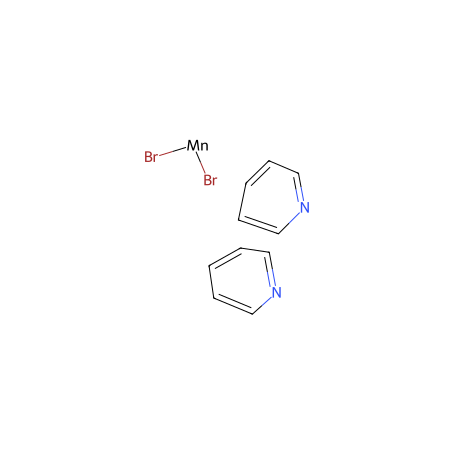 [Br][Mn][Br].c1ccncc1.c1ccncc1